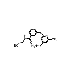 Cl.N#CCCNC(=O)c1cccc(Oc2cc(CN)cc(C(F)(F)F)n2)c1